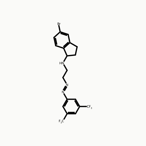 FC(F)(F)c1cc(/N=N/CCNC2CCc3cc(Br)ccc32)cc(C(F)(F)F)c1